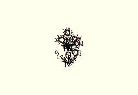 CCCCn1ncn(Cc2ccc(-c3ccccc3-c3nnnn3C(c3ccccc3)(c3ccccc3)c3ccccc3)cc2)c1=O